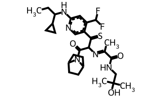 CCC(Nc1cc(C(F)F)c(C(=S)C(/N=C(\C)C(=O)NCC(C)(C)O)C(=O)N2C3CCC2CC3)cn1)C1CC1